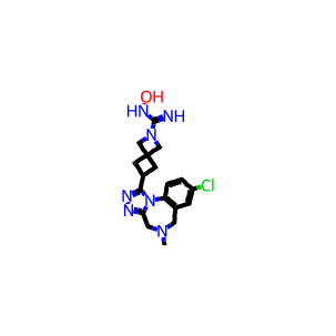 CN1Cc2cc(Cl)ccc2-n2c(nnc2C2CC3(C2)CN(C(=N)NO)C3)C1